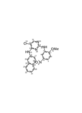 COc1ccc([N+](=O)[O-])cc1Nc1ncc(Cl)c(Nc2ccc3ccccc3c2)n1